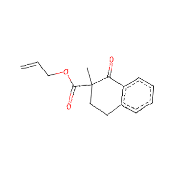 C=CCOC(=O)C1(C)CCc2ccccc2C1=O